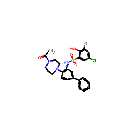 CC(=O)N1CCCN(c2ccc(-c3ccccc3)cc2NS(=O)(=O)c2cc(Cl)cc(Cl)c2O)CC1